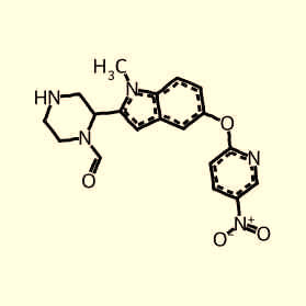 Cn1c(C2CNCCN2C=O)cc2cc(Oc3ccc([N+](=O)[O-])cn3)ccc21